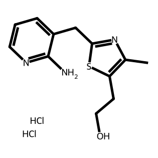 Cc1nc(Cc2cccnc2N)sc1CCO.Cl.Cl